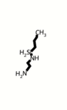 CCCC[SiH2]NCCN